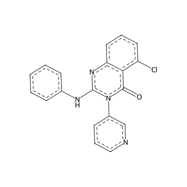 O=c1c2c(Cl)cccc2nc(Nc2ccccc2)n1-c1cccnc1